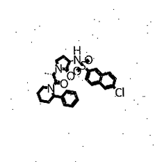 C[C@@H](C(=O)N1CCCCC1c1ccccc1)N1CC[C@H](NS(=O)(=O)c2ccc3cc(Cl)ccc3c2)C1=O